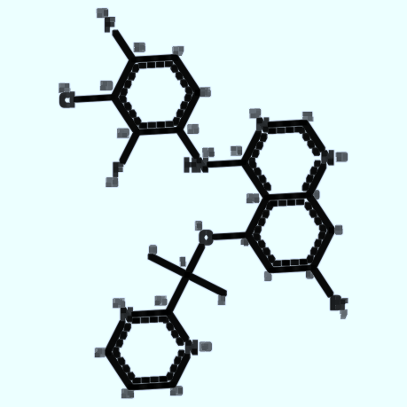 CC(C)(Oc1cc(Br)cc2ncnc(Nc3ccc(F)c(Cl)c3F)c12)c1ncccn1